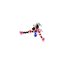 COc1ccccc1Oc1c(OCCOC(=O)OCCCCCCO[N+](=O)[O-])nc(-c2ncccn2)nc1N(C(C)OC(=O)OCCOCCO[N+](=O)[O-])S(=O)(=O)c1ccc(C(C)(C)C)cc1